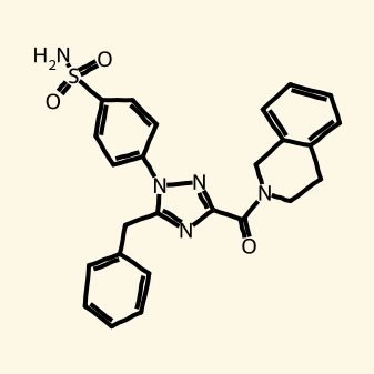 NS(=O)(=O)c1ccc(-n2nc(C(=O)N3CCc4ccccc4C3)nc2Cc2ccccc2)cc1